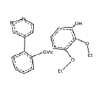 CCOc1cccc(O)c1OCC.COc1ccccc1-c1ccnnn1